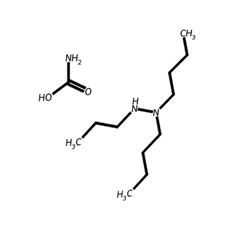 CCCCN(CCCC)NCCC.NC(=O)O